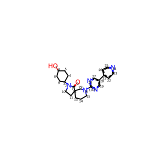 O=C1N(C2CCC(O)CC2)CCC12CCCN(c1ncc(-c3ccncc3)cn1)C2